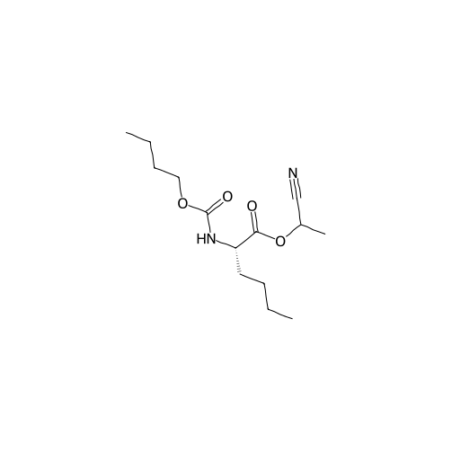 CCCCOC(=O)N[C@@H](CCCC)C(=O)OC(C)C#N